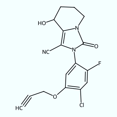 C#CCOc1cc(-n2c(C#N)c3n(c2=O)CCCC3O)c(F)cc1Cl